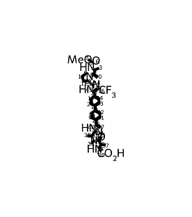 C=C(C(C)NC(=O)OC)N1CCC[C@H]1c1nc(C(F)(F)F)c(-c2ccc(-c3ccc(-c4cnc(C(C)N(C)C(=O)C(C)NC(=O)O)[nH]4)cc3)cc2)[nH]1